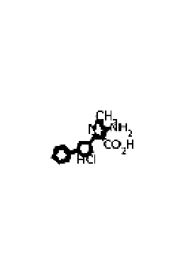 Cl.Cn1nc(C2CCC(c3ccccc3)C2)c(C(=O)O)c1N